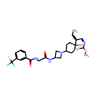 C/C=C(\C=N/C(C)OC)C1(O)CCC(N2CC(NC(=O)CNC(=O)c3cccc(C(F)(F)F)c3)C2)CC1